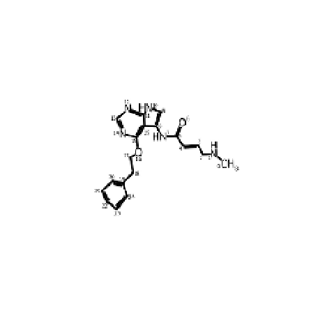 CNCC=CC(=O)Nc1c[nH]c2ncnc(OCCc3ccccc3)c12